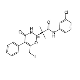 CC(C)(C(=O)Nc1cccc(Cl)c1)[C@@H]1NC(=O)C(c2ccccc2)=C(CI)O1